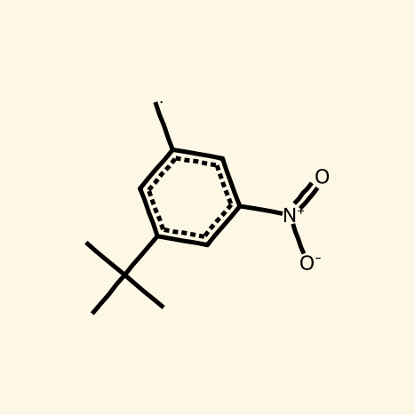 [CH2]c1cc([N+](=O)[O-])cc(C(C)(C)C)c1